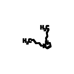 CCCCCN1C=CCN1CCCCC